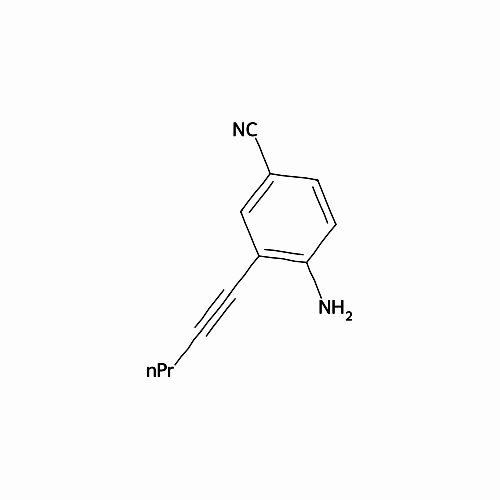 CCCC#Cc1cc(C#N)ccc1N